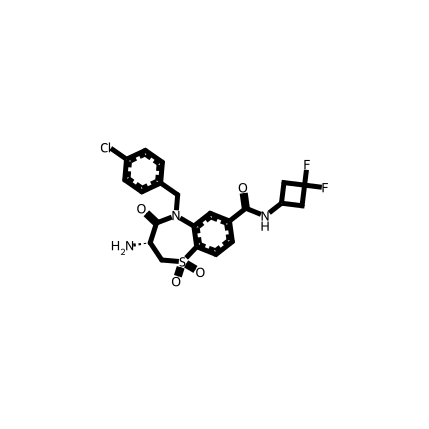 N[C@H]1CS(=O)(=O)c2ccc(C(=O)NC3CC(F)(F)C3)cc2N(Cc2ccc(Cl)cc2)C1=O